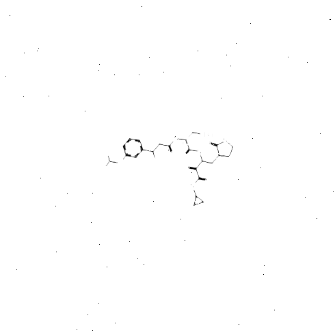 CC(CC(=O)N[C@@H](CC(C)(C)C)C(=O)NC(CC1CCNC1=O)C(=O)C(=O)NC1CC1)c1cccc(OC(F)F)c1